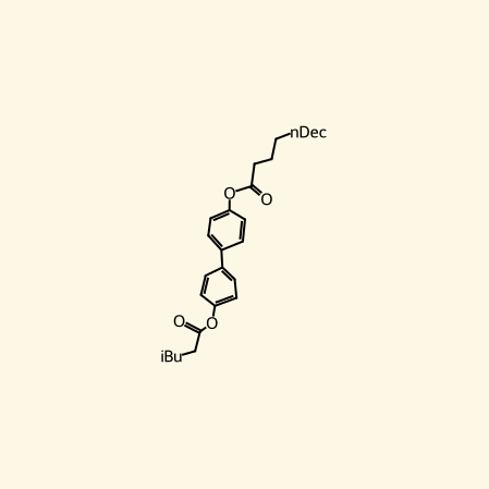 CCCCCCCCCCCCCC(=O)Oc1ccc(-c2ccc(OC(=O)CC(C)CC)cc2)cc1